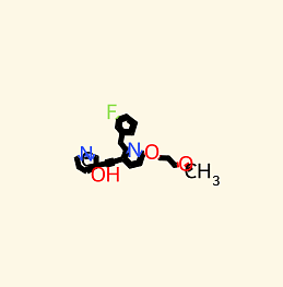 COCCCOc1ccc(C#CC2(O)CN3CCC2CC3)c(Cc2cccc(F)c2)n1